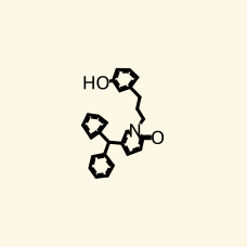 O=c1ccc(C(c2ccccc2)c2ccccc2)cn1CCCc1cccc(O)c1